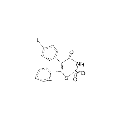 O=C1NS(=O)(=O)OC(c2ccccc2)=C1c1ccc(I)cc1